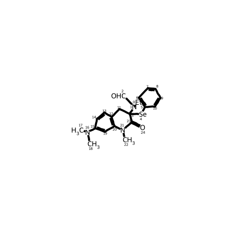 CCN(C=O)C1([Se]c2ccccc2)Cc2ccc(N(C)C)cc2N(C)C1=O